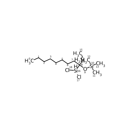 CCCCCCCCC(O[Si](C)(C)C)([SiH2]C)[SiH](Cl)Cl